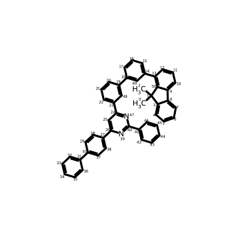 CC1(C)c2ccccc2-c2cccc(-c3cccc(-c4cccc(-c5cc(-c6ccc(-c7ccccc7)cc6)nc(-c6ccccc6)n5)c4)c3)c21